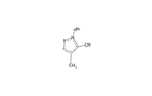 CCCn1n[c]c(C)c1C#N